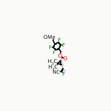 COCc1c(F)c(F)c(COC(=O)[C@@H]2[C@H](/C=C(/F)C#N)C2(C)C)c(F)c1F